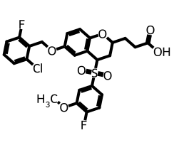 COc1cc(S(=O)(=O)C2CC(CCC(=O)O)Oc3ccc(OCc4c(F)cccc4Cl)cc32)ccc1F